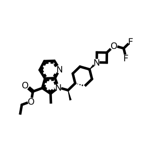 CCOC(=O)c1c(C)n([C@H](C)[C@H]2CC[C@H](N3CC(OC(F)F)C3)CC2)c2ncccc12